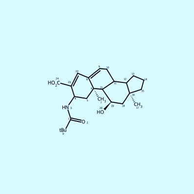 CC(C)(C)C(=O)NC1C[C@@]2(C)C(=CCC3C4CCC[C@@]4(C)C[C@@H](O)C32)C=C1C(=O)O